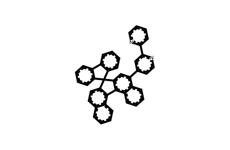 c1ccc(-c2cc(-c3cc4c(c5ccccc35)-c3c(ccc5ccccc35)C43c4ccccc4-c4ccccc43)ccn2)nc1